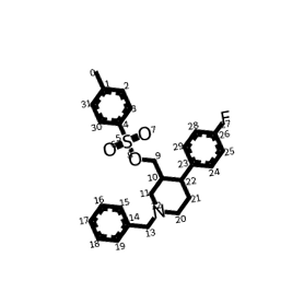 Cc1ccc(S(=O)(=O)OCC2CN(Cc3ccccc3)CCC2c2ccc(F)cc2)cc1